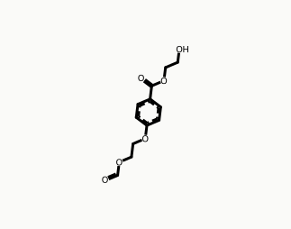 O=COCCOc1ccc(C(=O)OCCO)cc1